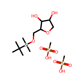 CC(C)(C)[Si](C)(C)OCC1OCC(O)C1O.CS(=O)(=O)O.CS(=O)(=O)O